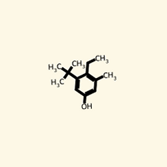 CCc1c(C)cc(O)cc1C(C)(C)C